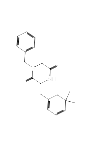 CC1(F)C=CC=C(C[C@H]2NC(=O)CN(Cc3ccccc3)C2=O)C1